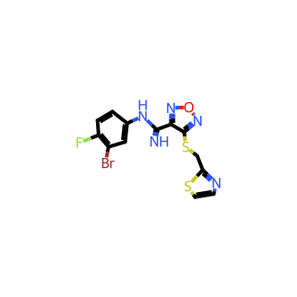 N=C(Nc1ccc(F)c(Br)c1)c1nonc1SCc1nccs1